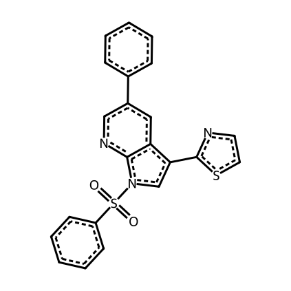 O=S(=O)(c1ccccc1)n1cc(-c2nccs2)c2cc(-c3ccccc3)cnc21